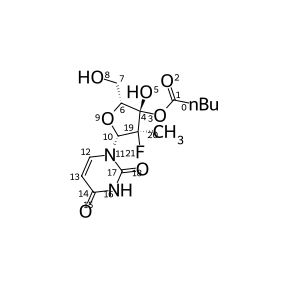 CCCCC(=O)O[C@@]1(O)[C@@H](CO)O[C@@H](n2ccc(=O)[nH]c2=O)[C@]1(C)F